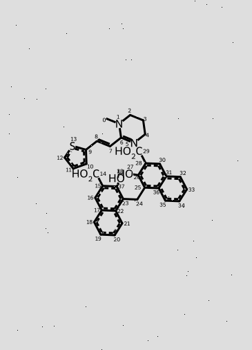 CN1CCCN=C1/C=C/c1cccs1.O=C(O)c1cc2ccccc2c(Cc2c(O)c(C(=O)O)cc3ccccc23)c1O